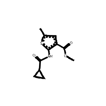 COC(=O)c1cc(C)sc1NC(=O)C1CC1